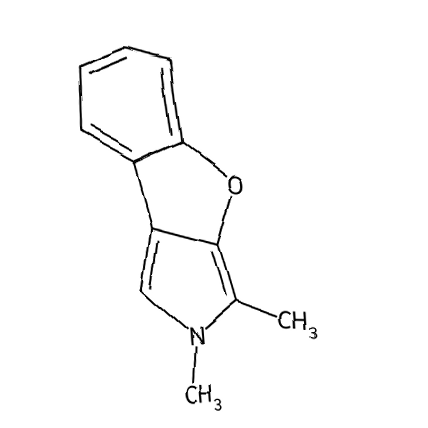 Cc1c2oc3ccccc3c2cn1C